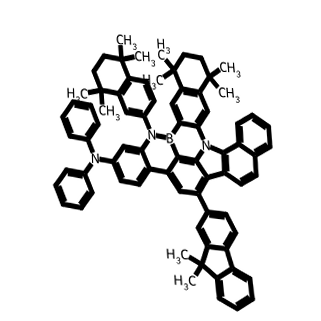 CC1(C)CCC(C)(C)c2cc(N3B4c5cc6c(cc5-n5c7c4c(cc(-c4ccc8c(c4)C(C)(C)c4ccccc4-8)c7c4ccc7ccccc7c45)-c4ccc(N(c5ccccc5)c5ccccc5)cc43)C(C)(C)CCC6(C)C)ccc21